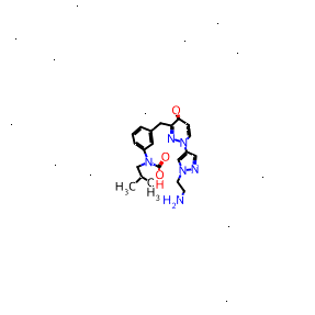 CC(C)CN(C(=O)O)c1cccc(Cc2nn(-c3cnn(CCN)c3)ccc2=O)c1